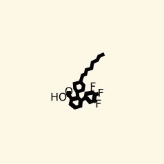 CCCCCCCCC1CCC(c2c(C(=O)O)cccc2-c2cc(F)c(F)c(F)c2)CC1